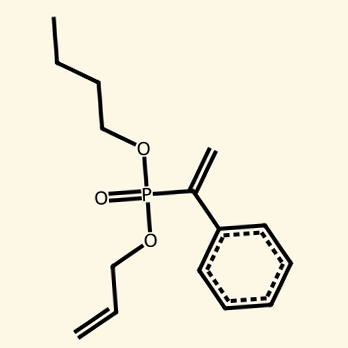 C=CCOP(=O)(OCCCC)C(=C)c1ccccc1